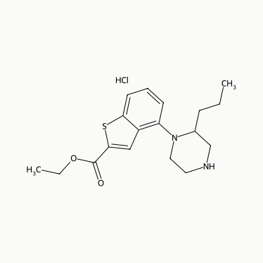 CCCC1CNCCN1c1cccc2sc(C(=O)OCC)cc12.Cl